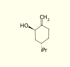 C=C1CC[C@H](C(C)C)C[C@H]1O